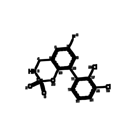 O=S1(=O)NCc2cc(F)cc(-c3cccc(Cl)c3Cl)c2O1